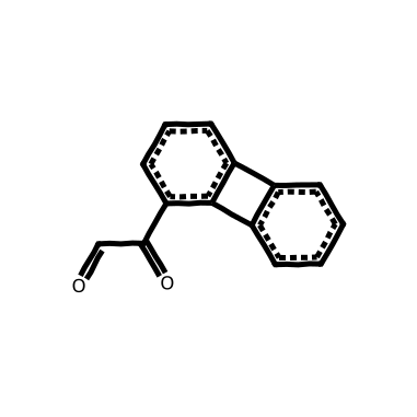 O=CC(=O)c1cccc2c1-c1ccccc1-2